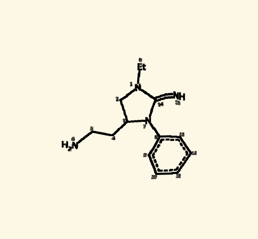 CCN1CC(CCN)N(c2ccccc2)C1=N